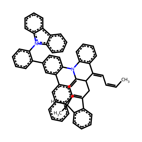 C/C=C\C=C1\c2ccccc2N(c2ccc(-c3ccccc3-n3c4ccccc4c4ccccc43)cc2-c2ccc3ccccc3c2)C2=CC3=C(CC21)c1ccccc1C3(C)C